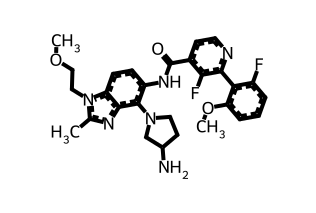 COCCn1c(C)nc2c(N3CCC(N)C3)c(NC(=O)c3ccnc(-c4c(F)cccc4OC)c3F)ccc21